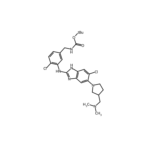 CN(C)CC1CCN(c2cc3nc(Nc4cc(CNC(=O)OC(C)(C)C)ccc4Cl)[nH]c3cc2Cl)C1